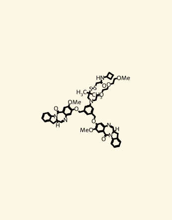 COCCOCCOCCN(CC(C)(C)SSCC(=O)NC1CCC1)c1cc(COc2cc3c(cc2OC)C(=O)N2c4ccccc4C[C@H]2C=N3)cc(COc2cc3c(cc2OC)C(=O)N2c4ccccc4C[C@H]2C=N3)c1